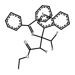 CCOC(=O)C(F)C(N=C(c1ccccc1)c1ccccc1)(c1csc2ccccc12)C(F)F